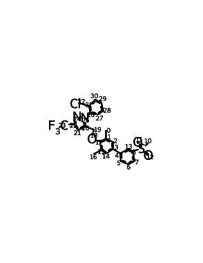 Cc1cc(-c2cccc(S(C)(=O)=O)c2)cc(C)c1OCc1cc(C(F)(F)F)nn1-c1ccccc1Cl